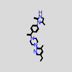 C=C(c1ccc(N2C(=C)NCC2C)cc1)N1CCN(c2ncc(CC)cc2C)CC1